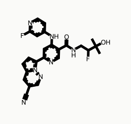 CC(C)(O)C(F)CNC(=O)c1cnc(-c2ccc3cc(C#N)cnn23)cc1Nc1ccnc(F)c1